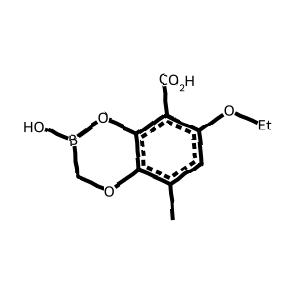 CCOc1cc(C)c2c(c1C(=O)O)OB(O)CO2